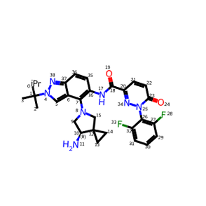 CC(C)C(C)(C)n1cc2c(N3C[C@H](N)C4(CC4)C3)c(NC(=O)c3ccc(=O)n(-c4c(F)cccc4F)n3)ccc2n1